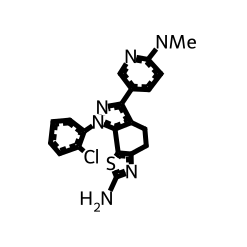 CNc1ccc(-c2nn(-c3ccccc3Cl)c3c2CCc2nc(N)sc2-3)cn1